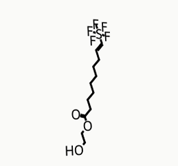 O=C(CCCCCCC/C=C/S(F)(F)(F)(F)F)OCCO